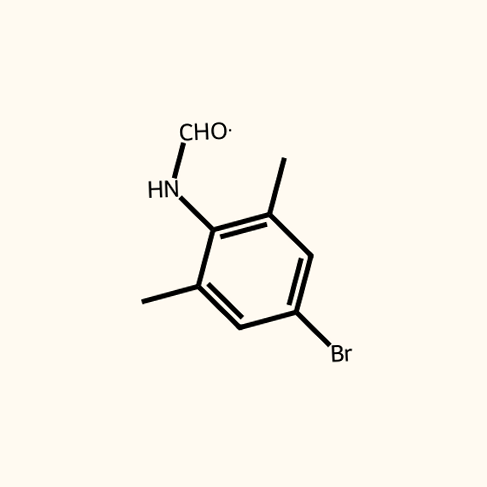 Cc1cc(Br)cc(C)c1N[C]=O